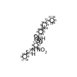 O=C(NS(=O)(=O)c1ccc(NCCSc2ccccc2)c([N+](=O)[O-])c1)c1ccc(N2CCC(Cc3ccccc3)CC2)cc1